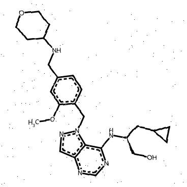 COc1cc(CNC2CCOCC2)ccc1Cn1ncc2n[c]nc(N[C@H](CO)CC3CC3)c21